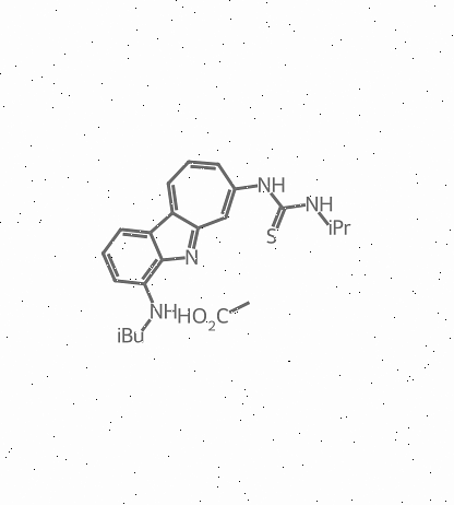 CC(=O)O.CCC(C)Nc1cccc2c3cccc(NC(=S)NC(C)C)cc-3nc12